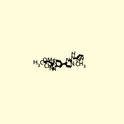 COC(C)(C)Cc1nnc2cc(-c3ccnc(Nc4ccnn4C)n3)ccn12